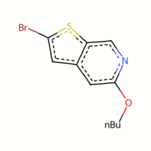 CCCCOc1cc2cc(Br)sc2cn1